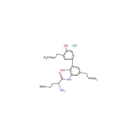 C=CCc1cc(NC(=O)C(N)CCSC)c(O)c(-c2ccc(O)c(CC=C)c2)c1.Cl